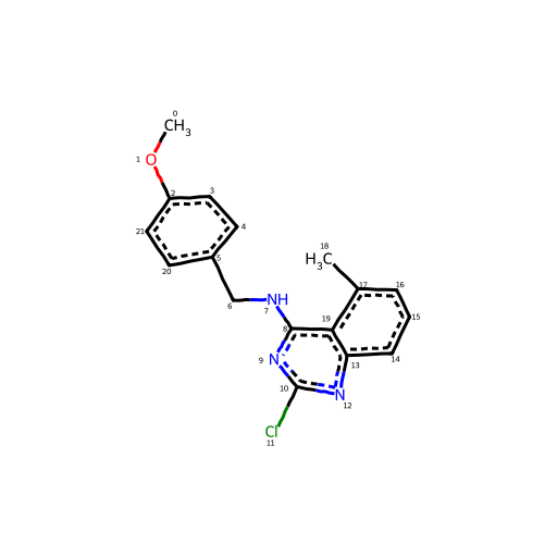 COc1ccc(CNc2nc(Cl)nc3cccc(C)c23)cc1